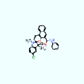 CN1c2ccc(Cl)cc2C(C)(C)C12C=Cc1c(c(C(=O)Nc3ccccc3)cc3ccccc13)O2